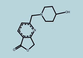 O=C1OCc2nc(CN3CCC(O)CC3)ccc21